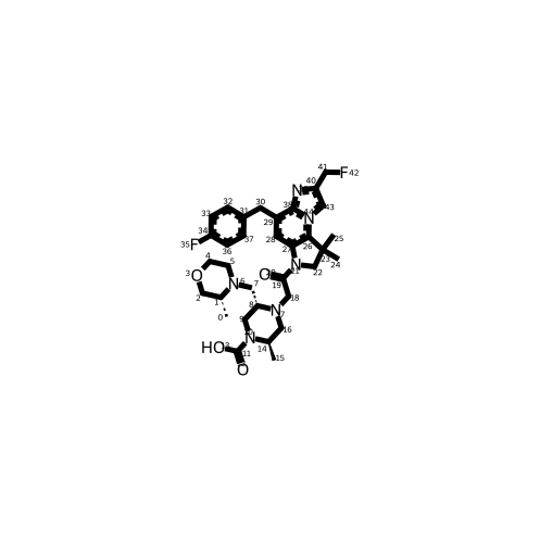 C[C@@H]1COCCN1C[C@H]1CN(C(=O)O)[C@H](C)CN1CC(=O)N1CC(C)(C)c2c1cc(Cc1ccc(F)cc1)c1nc(CF)cn21